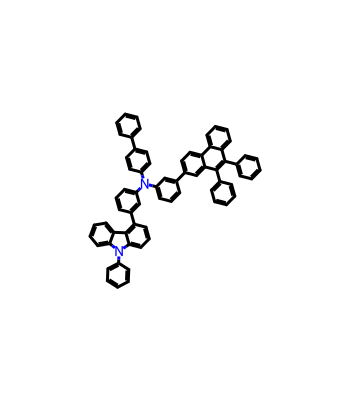 c1ccc(-c2ccc(N(c3cccc(-c4ccc5c(c4)c(-c4ccccc4)c(-c4ccccc4)c4ccccc45)c3)c3cccc(-c4cccc5c4c4ccccc4n5-c4ccccc4)c3)cc2)cc1